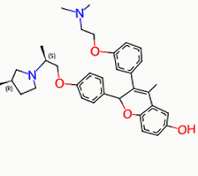 CC1=C(c2cccc(OCCN(C)C)c2)C(c2ccc(OC[C@H](C)N3CC[C@@H](C)C3)cc2)Oc2ccc(O)cc21